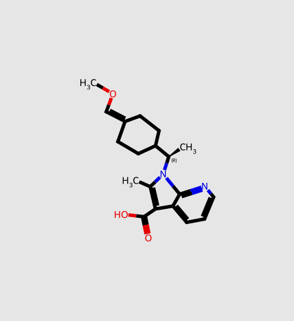 COC=C1CCC([C@@H](C)n2c(C)c(C(=O)O)c3cccnc32)CC1